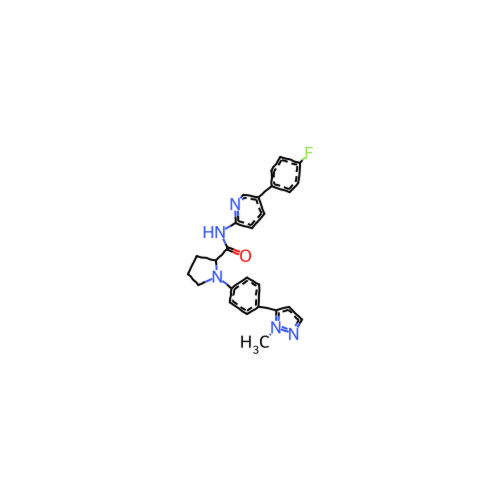 Cn1nccc1-c1ccc(N2CCCC2C(=O)Nc2ccc(-c3ccc(F)cc3)cn2)cc1